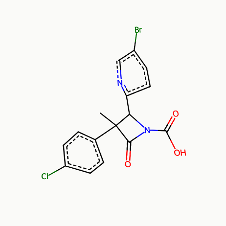 CC1(c2ccc(Cl)cc2)C(=O)N(C(=O)O)C1c1ccc(Br)cn1